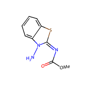 COC(=O)N=c1sc2ccccc2n1N